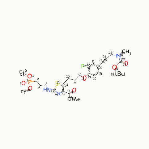 CCOP(=O)(CCCNc1nc(C(=O)OC)c(CCCOc2ccc(C#CCN(C)C(=O)OC(C)(C)C)cc2F)s1)OCC